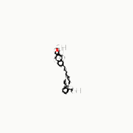 CCCC1(CC)COc2ccc(CCCCCN3CCN(c4ccccc4OC)CC3)cc2OC1